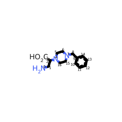 NCC(C(=O)O)N1CCN(Cc2ccccc2)CC1